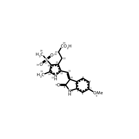 COc1ccc2c(c1)NC(=O)/C2=C\c1[nH]c(C)c(S(C)(=O)=O)c1CCC(=O)O